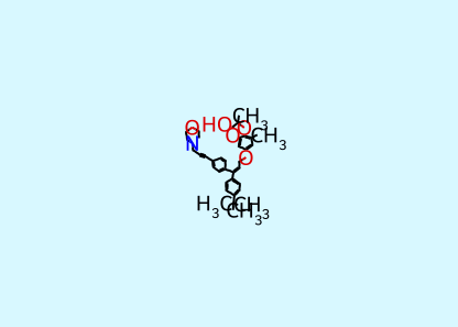 Cc1cc(OCC=C(c2ccc(C#CCN3CCOCC3)cc2)c2ccc(C(C)(C)C)cc2)ccc1OC(C)C(=O)O